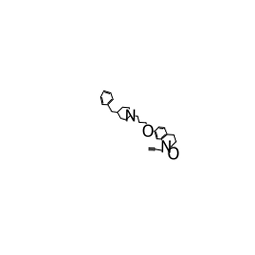 C#CCN1C(=O)CCc2ccc(OCCCN3CCC(Cc4ccccc4)CC3)cc21